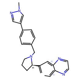 C=C(/C=c1/nccn/c1=C/C)[C@H]1CCCN1Cc1ccc(-c2cnn(C)c2)cc1